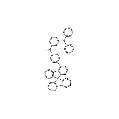 c1ccc(N(c2ccccc2)c2cccc(Nc3ccc(-c4cccc5c4-c4ccccc4C54c5ccccc5-c5ccccc54)cc3)c2)cc1